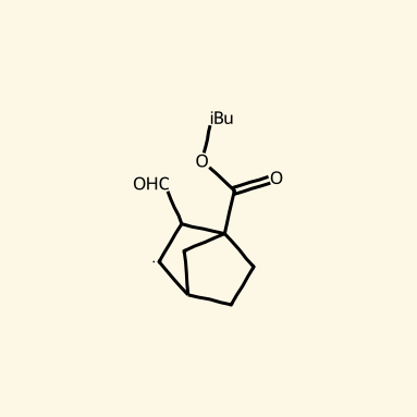 CCC(C)OC(=O)C12CCC([CH]C1C=O)C2